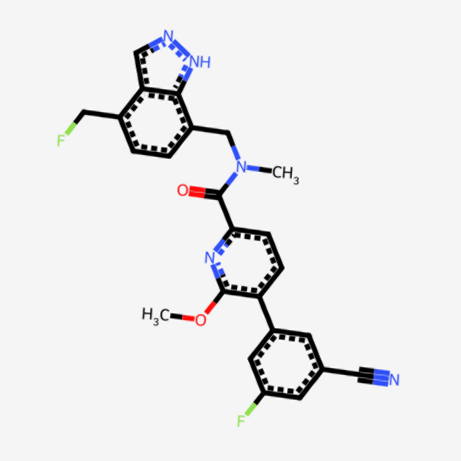 COc1nc(C(=O)N(C)Cc2ccc(CF)c3cn[nH]c23)ccc1-c1cc(F)cc(C#N)c1